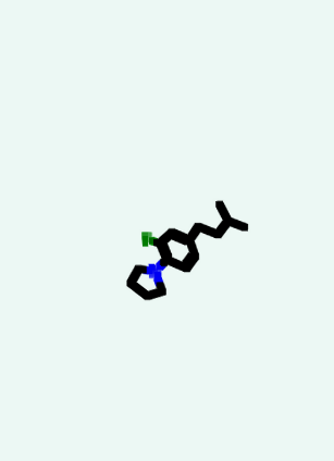 CC(C)CCc1ccc(N2CCCC2)c(F)c1